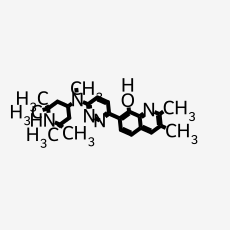 Cc1cc2ccc(-c3ccc(N(C)C4CC(C)(C)NC(C)(C)C4)nn3)c(O)c2nc1C